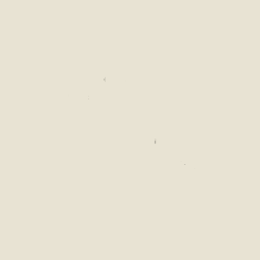 C[SiH2]O[SiH2]c1cccc(C(=O)O)c1C(=O)O